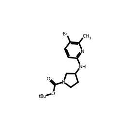 Cc1nc(NC2CCN(C(=O)OC(C)(C)C)C2)ccc1Br